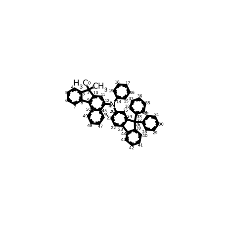 CC1(C)c2ccccc2-c2c1cc(N(c1ccccc1)c1ccc3c(c1)C(c1ccccc1)(c1ccccc1)c1ccccc1-3)c1ccccc21